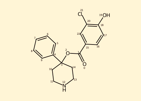 O=C(OC1(c2ccccc2)CCNCC1)c1ccc(O)c(Cl)c1